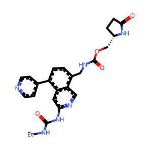 CCNC(=O)Nc1cc2c(-c3ccncc3)ccc(CNC(=O)OC[C@@H]3CCC(=O)N3)c2cn1